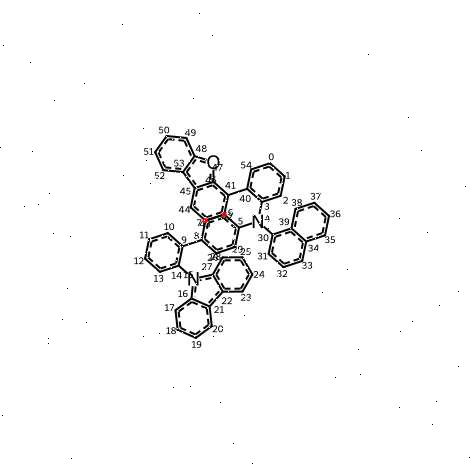 c1ccc(N(c2ccc(-c3ccccc3-n3c4ccccc4c4ccccc43)cc2)c2cccc3ccccc23)c(-c2cccc3c2oc2ccccc23)c1